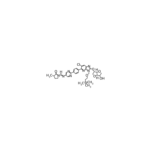 CC1CCN([SH]=Nc2cnc(-c3ccc(-c4nc5c(cc4Cl)nc(O[C@@H]4CO[C@H]6[C@@H]4OC[C@H]6O)n5COCC[Si](C)(C)C)cc3)nc2)C1=O